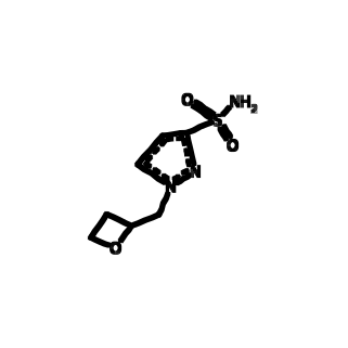 NS(=O)(=O)c1ccn(CC2CCO2)n1